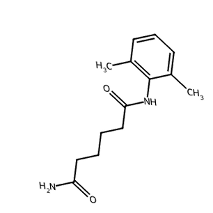 Cc1cccc(C)c1NC(=O)CCCCC(N)=O